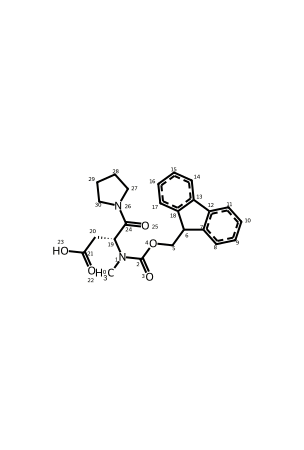 CN(C(=O)OCC1c2ccccc2-c2ccccc21)[C@H](CC(=O)O)C(=O)N1CCCC1